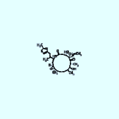 C=CC[C@@]1(C)C(=O)[C@H](C)[C@@H](O)[C@@H](C)CCC[C@@]2(C)O[C@H]2C[C@@H](/C(C)=C/c2csc(C)n2)NC(=O)C[C@@H]1O